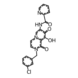 O=C(Nc1cn2ccn(Cc3cccc(Cl)c3)c(=O)c2c(O)c1=O)c1ccccn1